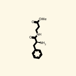 COC(=O)CCNC(=O)[C@@H](N)Cc1ccccc1